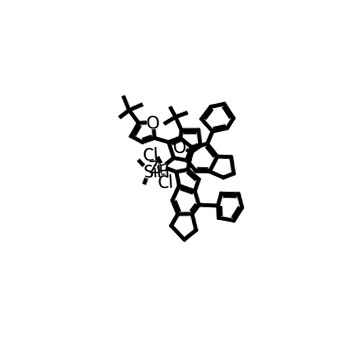 C[SiH](C)[Zr]([Cl])([Cl])([CH]1C(c2ccc(C(C)(C)C)o2)=Cc2c1cc1c(c2-c2ccccc2)CCC1)[CH]1C(c2ccc(C(C)(C)C)o2)=Cc2c1cc1c(c2-c2ccccc2)CCC1